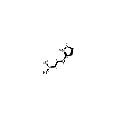 CCN(CC)CCOc1ccsn1